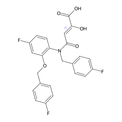 O=C(O)/C(O)=C/C(=O)N(Cc1ccc(F)cc1)c1ccc(F)cc1OCc1ccc(F)cc1